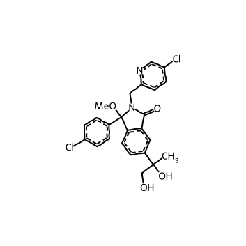 COC1(c2ccc(Cl)cc2)c2ccc(C(C)(O)CO)cc2C(=O)N1Cc1ccc(Cl)cn1